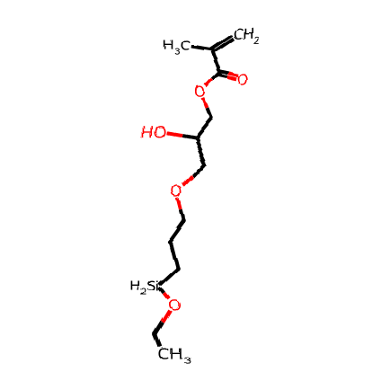 C=C(C)C(=O)OCC(O)COCCC[SiH2]OCC